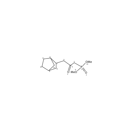 COP(=O)(CC(=O)CC1CC2CCC1C2)OC